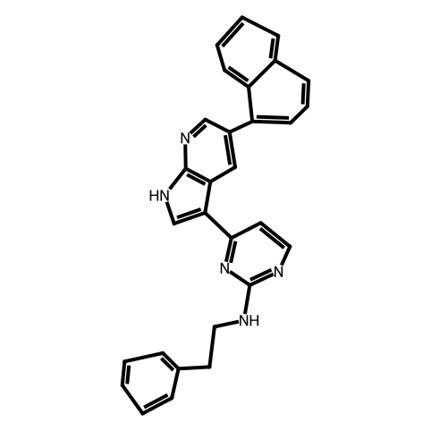 c1ccc(CCNc2nccc(-c3c[nH]c4ncc(-c5cccc6ccccc56)cc34)n2)cc1